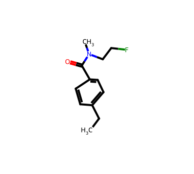 CCc1ccc(C(=O)N(C)CCF)cc1